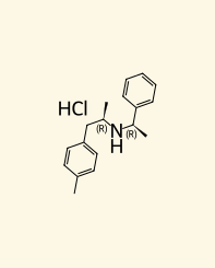 Cc1ccc(C[C@@H](C)N[C@H](C)c2ccccc2)cc1.Cl